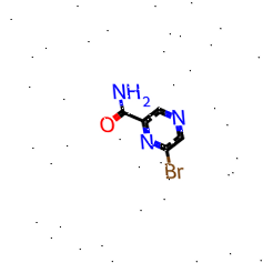 NC(=O)c1cncc(Br)n1